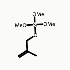 C=C(C)CO[Si](OC)(OC)OC